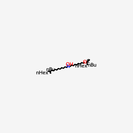 C=C=C(OCCCCCCCCCN(O)CCCCCCCCCCC(=C)C(CCCC)CCCCCC)C(CCCC)CCCCCC